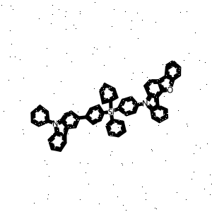 c1ccc2oc3c(ccc4c3c3ccccc3n4-c3ccc([Si](c4ccccc4)(c4ccccc4)c4ccc(-c5ccc6c(c5)c5ccccc5n6-c5ccccc5)cc4)cc3)c2c#1